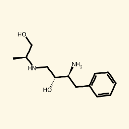 C[C@@H](CO)NC[C@@H](O)[C@@H](N)Cc1ccccc1